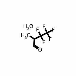 CC(C=O)C(F)(F)C(F)(F)F.O